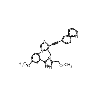 COCc1nnc2n1Cc1c(C#Cc3ccc4ncccc4c3)ncn1-c1ccc(OC)cc1-2